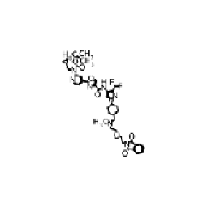 CN(CCOCCN1C(=O)c2ccccc2C1=O)CC1CCC(n2cc(NC(=O)c3coc(-c4ccnc(N(CC5CC5)C(=O)OC(C)(C)C)c4)n3)c(C(F)F)n2)CC1